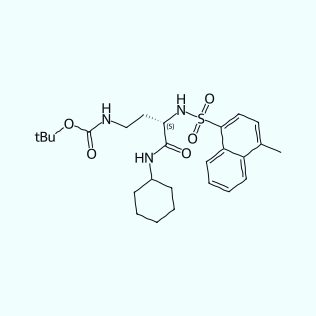 Cc1ccc(S(=O)(=O)N[C@@H](CCNC(=O)OC(C)(C)C)C(=O)NC2CCCCC2)c2ccccc12